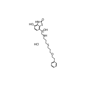 Cl.O=c1[nH]c2c(O)ccc([C@@H](O)CNCCCSCCCOCCc3ccccc3)c2s1